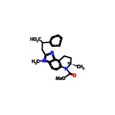 COC(=O)N1c2ccc3c(nc(CC(C(=O)O)c4ccccc4)n3C)c2CC[C@@H]1C